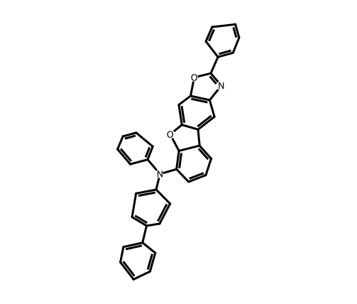 c1ccc(-c2ccc(N(c3ccccc3)c3cccc4c3oc3cc5oc(-c6ccccc6)nc5cc34)cc2)cc1